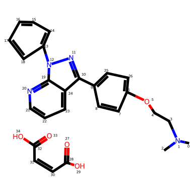 CN(C)CCOc1ccc(-c2nn(-c3ccccc3)c3ncccc23)cc1.O=C(O)/C=C\C(=O)O